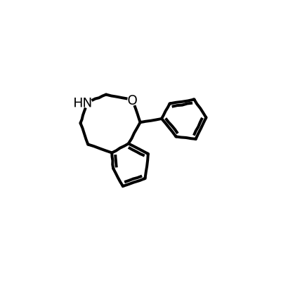 c1ccc(C2OCNCCc3ccccc32)cc1